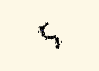 CC(=O)CCCOc1ccc2c(c1)S(=O)(=O)CC/C2=N\NC(=O)CC(C)(C)SSCCC(=O)N1CCN(C2CCN(C(=O)NCc3ccc(NC(=O)[C@H]4C[C@@H]4c4cccnc4)cc3F)CC2)CC1